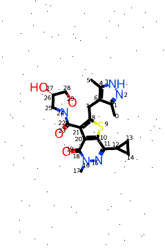 Cc1n[nH]c(C)c1Cc1sc2c(C3CC3)nn(C)c(=O)c2c1C(=O)N1C[C@H](O)CO1